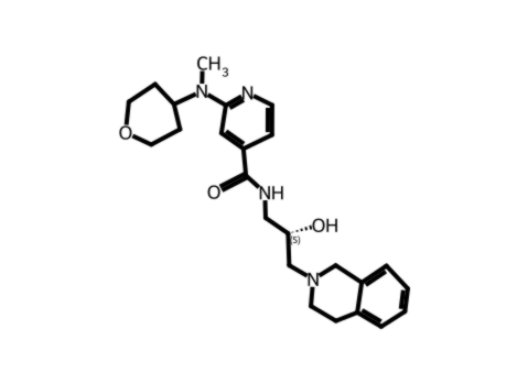 CN(c1cc(C(=O)NC[C@H](O)CN2CCc3ccccc3C2)ccn1)C1CCOCC1